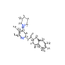 CC(=Cc1cc(N2CCCCC2)c(C)cn1)c1ccc2ccccc2c1